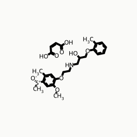 COc1cc([S+](C)[O-])c(C)cc1OCCNCC(O)COc1ccccc1C.O=C(O)/C=C\C(=O)O